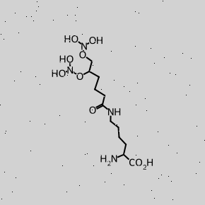 NC(CCCCNC(=O)CCCC(CON(O)O)ON(O)O)C(=O)O